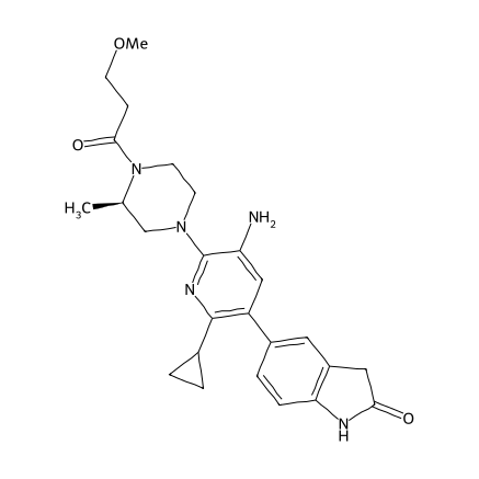 COCCC(=O)N1CCN(c2nc(C3CC3)c(-c3ccc4c(c3)CC(=O)N4)cc2N)C[C@H]1C